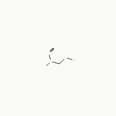 NSCN([PH2]=S)C(=O)O